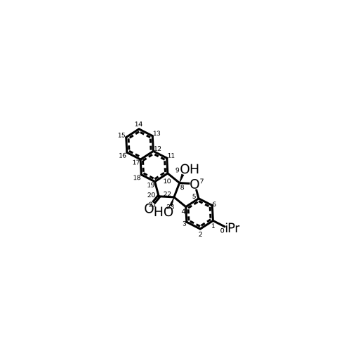 CC(C)c1ccc2c(c1)O[C@@]1(O)c3cc4ccccc4cc3C(=O)[C@@]21O